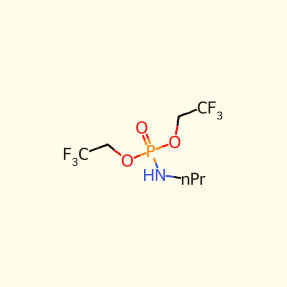 CCCNP(=O)(OCC(F)(F)F)OCC(F)(F)F